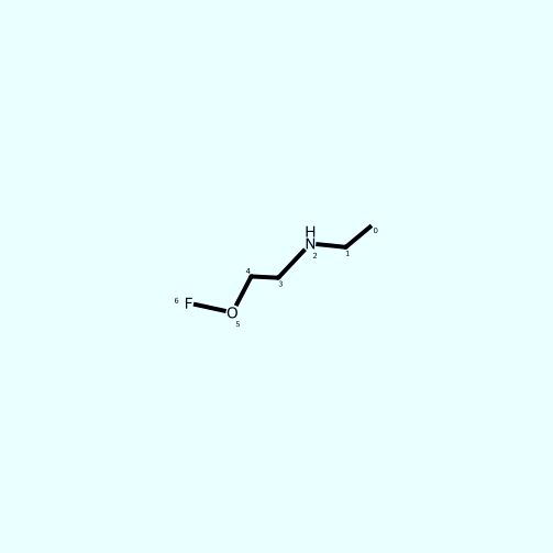 CCNCCOF